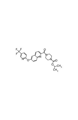 CC(C)OC(=O)N1CCN(C(=O)c2ccc3cc(Oc4ccc(C(F)(F)F)cn4)ccc3n2)CC1